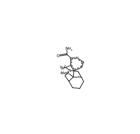 COC1(c2ccnc(C(N)=O)c2F)C2CCCC1CN(C)C2